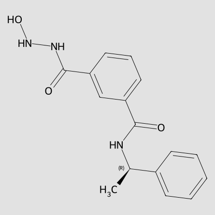 C[C@@H](NC(=O)c1cccc(C(=O)NNO)c1)c1ccccc1